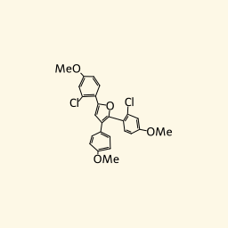 COc1ccc(-c2cc(-c3ccc(OC)cc3Cl)oc2-c2ccc(OC)cc2Cl)cc1